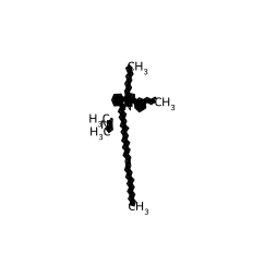 CCCCCCCCCCCCCCCCCCCCCCCCC=CCCc1ccccc1C1=C(CCCCCCCC)C=C(c2cccc(CCCC)c2)[N+]1=[N-].C[CH2][Ni][CH2]C